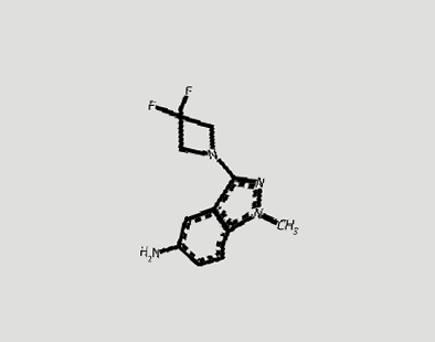 Cn1nc(N2CC(F)(F)C2)c2cc(N)ccc21